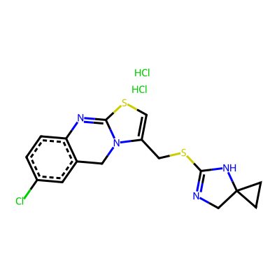 Cl.Cl.Clc1ccc2c(c1)CN1C(CSC3=NCC4(CC4)N3)=CSC1=N2